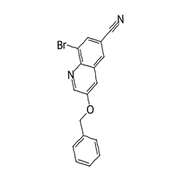 N#Cc1cc(Br)c2ncc(OCc3ccccc3)cc2c1